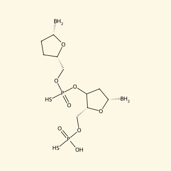 B[C@H]1CC[C@@H](COP(=O)(S)OC2C[C@H](B)O[C@@H]2COP(=O)(O)S)O1